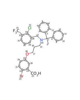 CC(c1ccccc1)(c1ccccc1)N(CCCOc1ccc(Br)c(C(=O)O)c1)Cc1cccc(C(F)(F)F)c1Cl